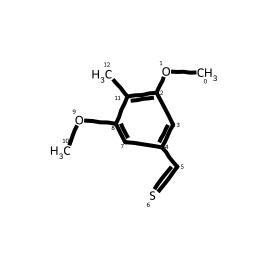 COc1cc(C=S)cc(OC)c1C